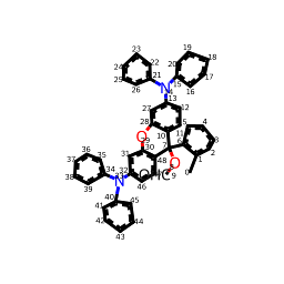 Cc1ccccc1C1(OC=O)c2ccc(N(c3ccccc3)c3ccccc3)cc2Oc2cc(N(c3ccccc3)c3ccccc3)ccc21